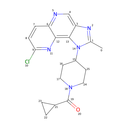 Cc1nc2cnc3ccc(Cl)nc3c2n1C1CCN(C(=O)C2CC2)CC1